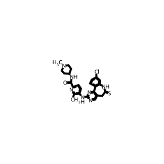 Cc1nc(C(=O)NC2CCN(C)CC2)ccc1Nc1ncc2c(n1)-c1ccc(Cl)cc1NC(=S)C2